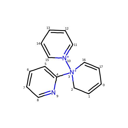 C1=CC[N+](c2ccccn2)([n+]2ccccc2)C=C1